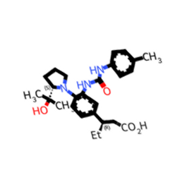 CC[C@H](CC(=O)O)c1ccc(N2CCC[C@H]2C(C)(C)O)c(NC(=O)Nc2ccc(C)cc2)c1